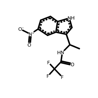 CC(NC(=O)C(F)(F)F)c1c[nH]c2ccc([N+](=O)[O-])cc12